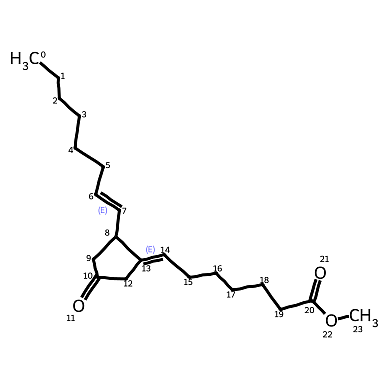 CCCCCC/C=C/C1CC(=O)C/C1=C\CCCCCC(=O)OC